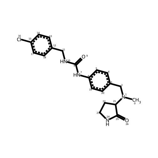 CN(Cc1ccc(NC(=O)NCc2ccc(Cl)cc2)cc1)C1CCNC1=O